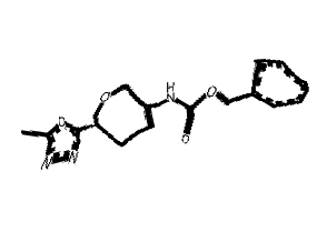 Cc1nnc([C@@H]2CCC(NC(=O)OCc3ccccc3)CO2)o1